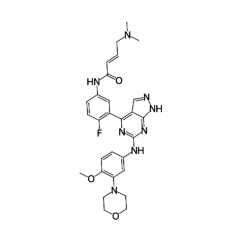 COc1ccc(Nc2nc(-c3cc(NC(=O)/C=C/CN(C)C)ccc3F)c3cn[nH]c3n2)cc1N1CCOCC1